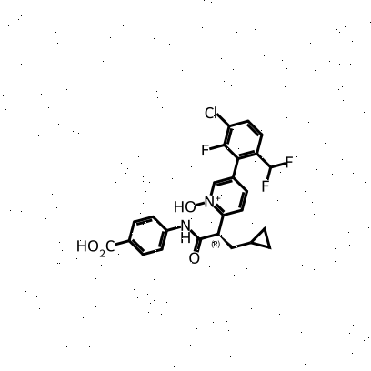 O=C(O)c1ccc(NC(=O)[C@H](CC2CC2)c2ccc(-c3c(C(F)F)ccc(Cl)c3F)c[n+]2O)cc1